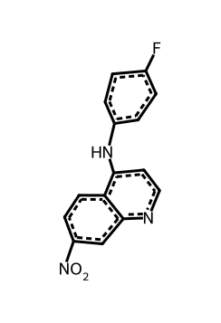 O=[N+]([O-])c1ccc2c(Nc3ccc(F)cc3)ccnc2c1